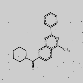 Cc1nc(-c2ccccc2)nc2cc(C(=O)N3CCCCC3)ccc12